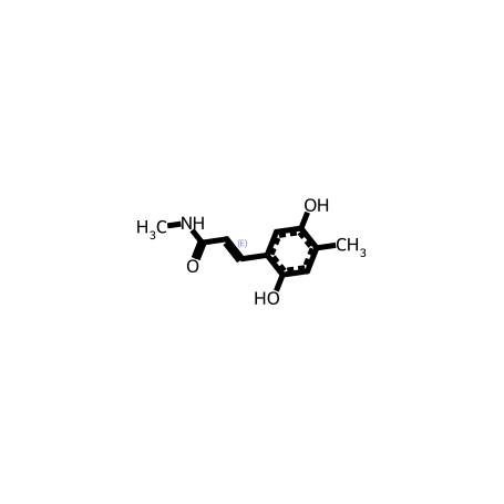 CNC(=O)/C=C/c1cc(O)c(C)cc1O